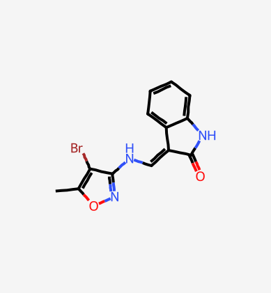 Cc1onc(N/C=C2/C(=O)Nc3ccccc32)c1Br